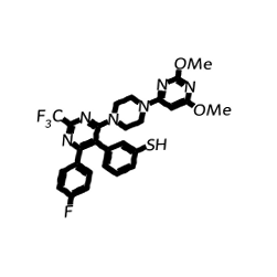 COc1cc(N2CCN(c3nc(C(F)(F)F)nc(-c4ccc(F)cc4)c3-c3cccc(S)c3)CC2)nc(OC)n1